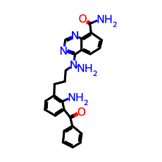 NC(=O)c1cccc2c(N(N)CCCc3cccc(C(=O)c4ccccc4)c3N)ncnc12